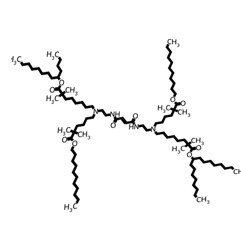 CCCCCCCCCCCOC(=O)C(C)(C)CCCCN(CCCCCCC(C)(C)C(=O)OC(CCCC)CCCCCCCC)CCNC(=O)/C=C/C(=O)NCCN(CCCCCCC(C)(C)C(=O)OC(CCCCCCCC)CCCCCCCC)CCCCC(C)(C)C(=O)OCCCCCCCCCCC